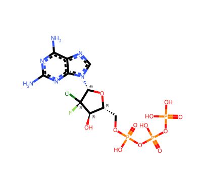 Nc1nc(N)c2ncn([C@@H]3O[C@H](COP(=O)(O)OP(=O)(O)OP(=O)(O)O)[C@@H](O)[C@]3(F)Cl)c2n1